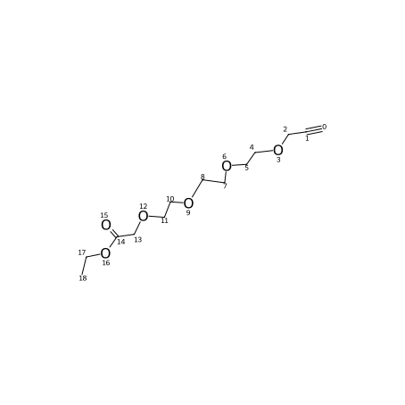 C#CCOCCOCCOCCOCC(=O)OCC